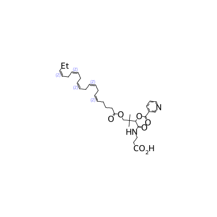 CC/C=C\C/C=C\C/C=C\C/C=C\C/C=C\CCCC(=O)OCC(C)(C)C(OC(=O)c1cccnc1)C(=O)NCCC(=O)O